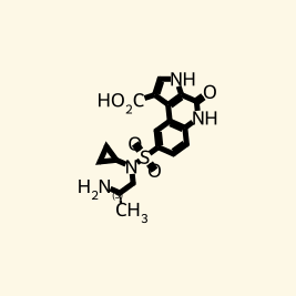 C[C@H](N)CN(C1CC1)S(=O)(=O)c1ccc2[nH]c(=O)c3[nH]cc(C(=O)O)c3c2c1